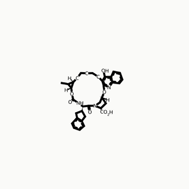 CC1[C@H]2CCCCCc3c(nc4ccccc4c3O)O[C@@H]3C[C@@H](C(=O)O)N(C3)C(=O)[C@H](C3Cc4ccccc4C3)NC(=O)O[C@H]12